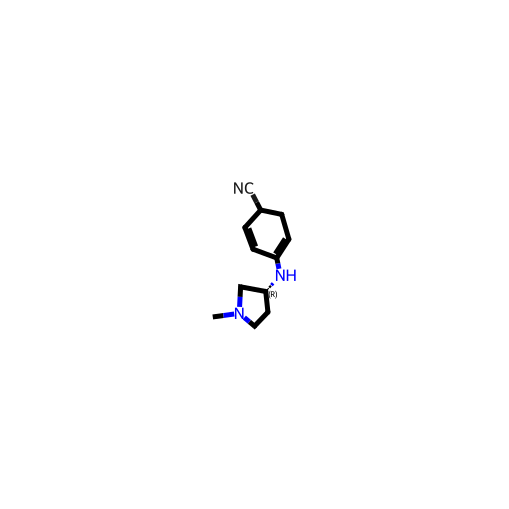 CN1CC[C@@H](NC2=CCC(C#N)C=C2)C1